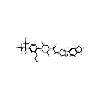 CCCc1cc(C(O)(C(F)(F)F)C(F)(F)F)ccc1N1CC(C)N(C(=O)CN2CN[C@](C)(c3ccc4c(c3)CCO4)C2)CC1C